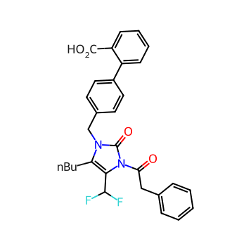 CCCCc1c(C(F)F)n(C(=O)Cc2ccccc2)c(=O)n1Cc1ccc(-c2ccccc2C(=O)O)cc1